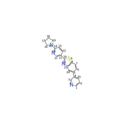 c1cncc(-c2ccc3sc(-c4ccc(N5CCCC5)nc4)nc3c2)c1